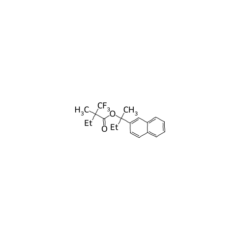 CCC(C)(OC(=O)C(C)(CC)C(F)(F)F)c1ccc2ccccc2c1